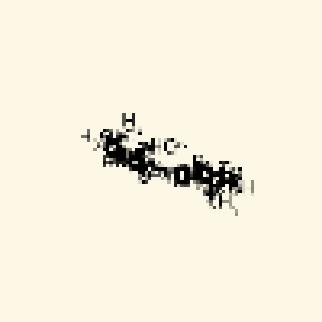 CCc1cc(Nc2cc(=O)n(CCCCN3CCN(c4cc5c(cc4F)c(=O)c(C(=O)O)cn5CC)CC3)c(=O)[nH]2)ccc1C.Cl